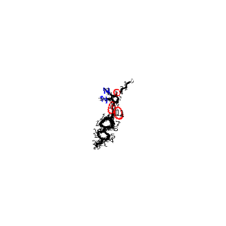 CCCCCOc1ccc(OC(=O)c2ccc(C3CCC(CCC)CC3)cc2)c(C#N)c1C#N